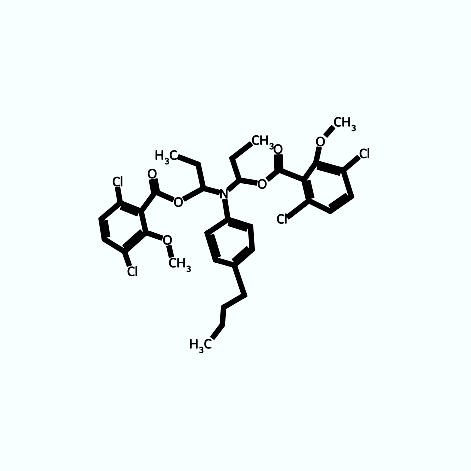 CCCCc1ccc(N(C(CC)OC(=O)c2c(Cl)ccc(Cl)c2OC)C(CC)OC(=O)c2c(Cl)ccc(Cl)c2OC)cc1